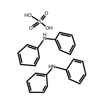 O=S(=O)(O)O.c1ccc(Nc2ccccc2)cc1.c1ccc(Nc2ccccc2)cc1